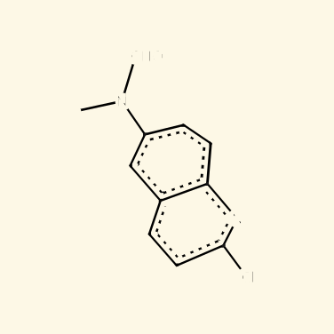 CN(C=O)c1ccc2nc(Cl)ccc2c1